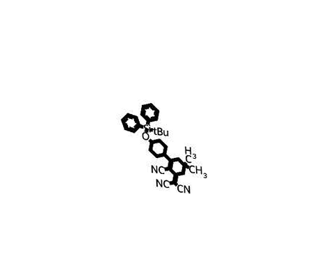 CC1(C)CC(=C(C#N)C#N)C(C#N)=C(C2CCC(O[Si](c3ccccc3)(c3ccccc3)C(C)(C)C)CC2)C1